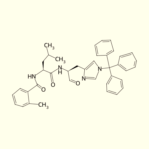 Cc1ccccc1C(=O)N[C@@H](CC(C)C)C(=O)N[C@H](C=O)Cc1cn(C(c2ccccc2)(c2ccccc2)c2ccccc2)cn1